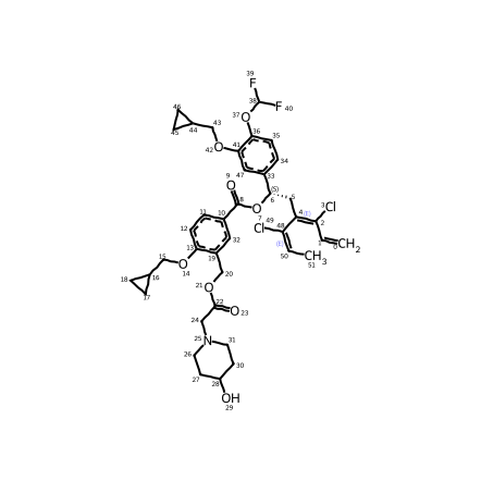 C=C/C(Cl)=C(C[C@H](OC(=O)c1ccc(OCC2CC2)c(COC(=O)CN2CCC(O)CC2)c1)c1ccc(OC(F)F)c(OCC2CC2)c1)\C(Cl)=C/C